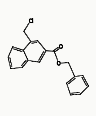 O=C(OCc1ccccc1)c1cc(CCl)c2ccccc2c1